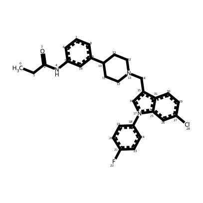 CCC(=O)Nc1cccc(C2CCN(Cc3cn(-c4ccc(F)cc4)c4cc(Cl)ccc34)CC2)c1